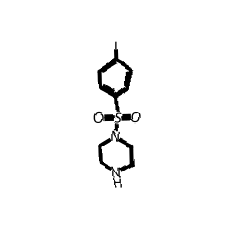 O=S(=O)(c1ccc(I)cc1)N1CCNCC1